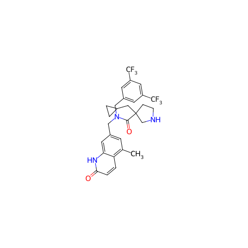 Cc1cc(CN(Cc2cc(C(F)(F)F)cc(C(F)(F)F)c2)C(=O)C2(CC3CC3)CCNC2)cc2[nH]c(=O)ccc12